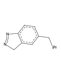 CC(C)Cc1ccc2c(c1)CN=N2